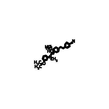 CC(C)Oc1cccc(N(C)CCC2(O)CCN(CCc3ccc(C#N)cc3)CC2)c1.Cl.Cl